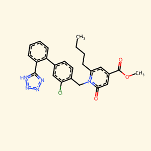 CCCCc1cc(C(=O)OC)cc(=O)n1Cc1ccc(-c2ccccc2-c2nnn[nH]2)cc1Cl